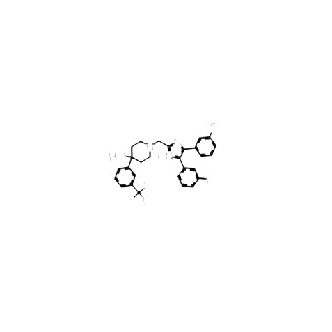 OC1(c2cccc(C(F)(F)F)c2)CCN(Cc2nc(-c3cccc(F)c3)c(-c3cccc(F)c3)[nH]2)CC1